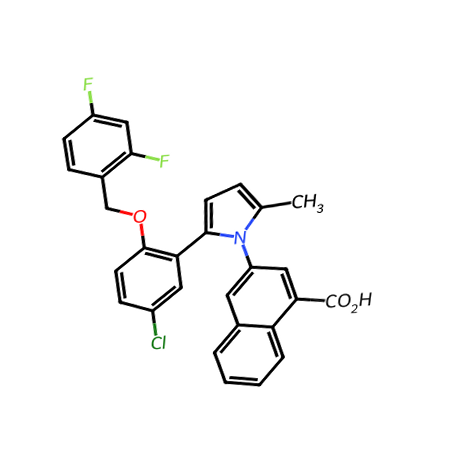 Cc1ccc(-c2cc(Cl)ccc2OCc2ccc(F)cc2F)n1-c1cc(C(=O)O)c2ccccc2c1